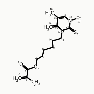 C=C(C)C(=O)OCCCCCCN1C(=C)C(C)=CN(CC)C1=S